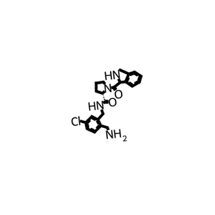 NCc1ccc(Cl)cc1CNC(=O)[C@@H]1CCCN1C(=O)C1NCc2ccccc21